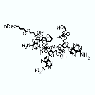 CCCCCCCCCCCCCC(=O)OCCSP(=O)(O)O[C@H]1C2OCCC[C@]2(COP(=O)(O)O[C@H]2C(O)[C@@H](COP(=O)(O)O[C@H]3C(OC)[C@@H](COP(=O)(O)OCCO)O[C@H]3n3cnc4c(N)ncnc43)O[C@H]2n2cnc3c(N)ncnc32)O[C@H]1n1cnc2c(N)ncnc21